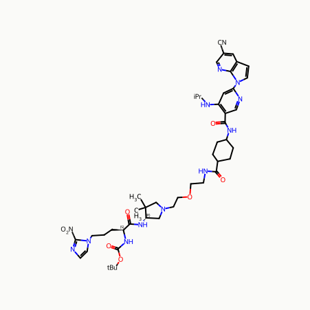 CC(C)Nc1cc(-n2ccc3cc(C#N)cnc32)ncc1C(=O)NC1CCC(C(=O)NCCOCCN2C[C@H](NC(=O)[C@H](CCCn3ccnc3[N+](=O)[O-])NC(=O)OC(C)(C)C)C(C)(C)C2)CC1